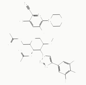 COC1C(n2cc(-c3cc(F)c(F)c(F)c3)nn2)[C@@H](OC(C)=O)C(COC(C)=O)O[C@@H]1Sc1cc(Cl)c(C#N)nc1N1CCOCC1